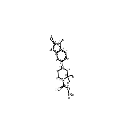 Cn1c(=O)oc2cc(N3CCN(C(=O)OC(C)(C)C)C(C)(C)C3)ccc21